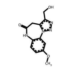 COc1ccc2c(c1)-n1nnc(CO)c1CC(=O)N2